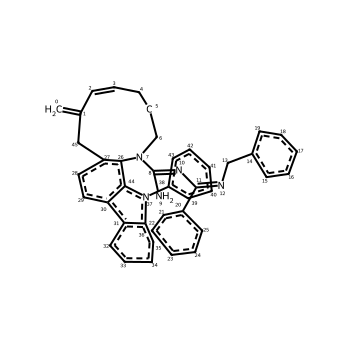 C=C1/C=C\CCCN(/C(N)=N/C(=N\Cc2ccccc2)c2ccccc2)c2c(ccc3c4ccccc4n(-c4ccccc4)c23)C1